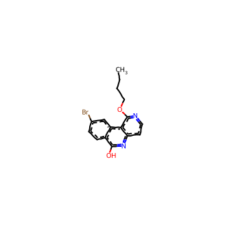 CCCCOc1nccc2nc(O)c3ccc(Br)cc3c12